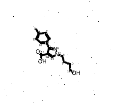 Cc1ccc(-c2nn(CCCCO)cc2C(=O)O)cc1